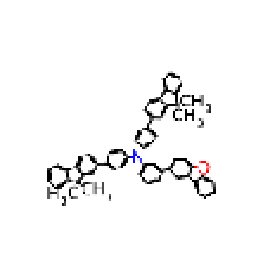 CC1(C)c2ccccc2-c2ccc(-c3ccc(N(c4ccc(-c5ccc6c(c5)C(C)(C)c5ccccc5-6)cc4)c4cccc(-c5ccc6oc7ccccc7c6c5)c4)cc3)cc21